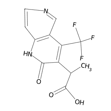 CC(C(=O)O)c1c(C(F)(F)F)c2cnccc2[nH]c1=O